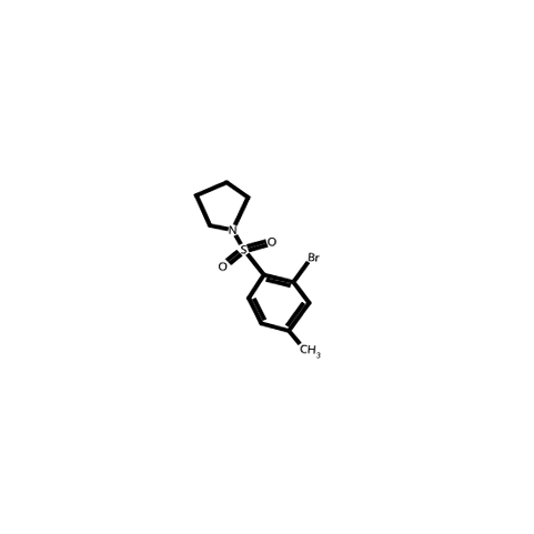 Cc1ccc(S(=O)(=O)N2CCCC2)c(Br)c1